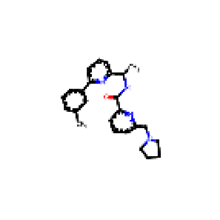 CC(NC(=O)c1cccc(CN2CCCC2)n1)c1cccc(-c2cccc(C(F)(F)F)c2)n1